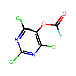 O=C(F)Oc1c(Cl)nc(Cl)nc1Cl